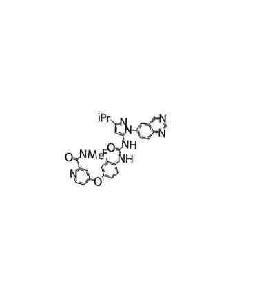 CNC(=O)c1cc(Oc2ccc(NC(=O)Nc3cc(C(C)C)nn3-c3ccc4ncncc4c3)c(F)c2)ccn1